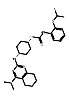 CN(C)c1nc(N[C@H]2CC[C@@H](NC(=O)Nc3ccccc3OC(F)F)CC2)nc2c1CCCC2